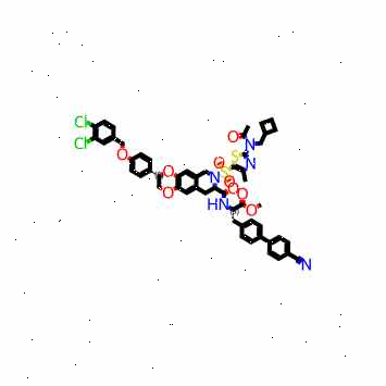 COC(=O)[C@H](Cc1ccc(-c2ccc(C#N)cc2)cc1)NC(=O)C1Cc2cc3c(cc2CN1S(=O)(=O)c1sc(N(CC2CCC2)C(C)=O)nc1C)O[C@@H](c1ccc(OCc2ccc(Cl)c(Cl)c2)cc1)CO3